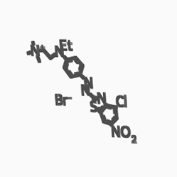 CCN(CC[N+](C)(C)C)c1ccc(N=Nc2nc3c(Cl)cc([N+](=O)[O-])cc3s2)cc1.[Br-]